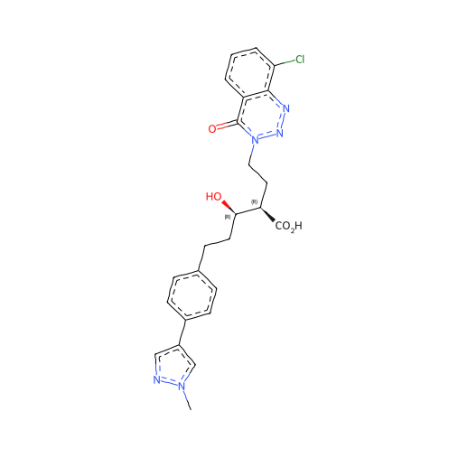 Cn1cc(-c2ccc(CC[C@@H](O)[C@@H](CCn3nnc4c(Cl)cccc4c3=O)C(=O)O)cc2)cn1